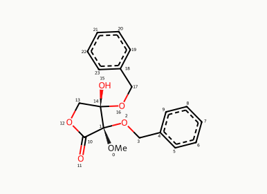 CO[C@@]1(OCc2ccccc2)C(=O)OC[C@]1(O)OCc1ccccc1